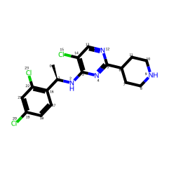 C[C@@H](Nc1nc(C2CCNCC2)ncc1Cl)c1ccc(Cl)cc1Cl